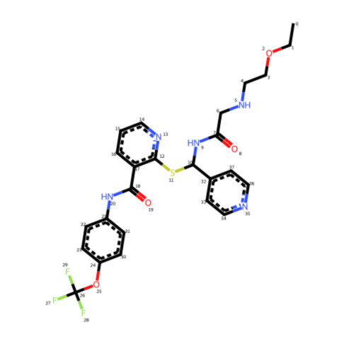 CCOCCNCC(=O)NC(Sc1ncccc1C(=O)Nc1ccc(OC(F)(F)F)cc1)c1ccncc1